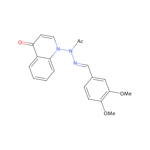 COc1ccc(C=NN(C(C)=O)n2ccc(=O)c3ccccc32)cc1OC